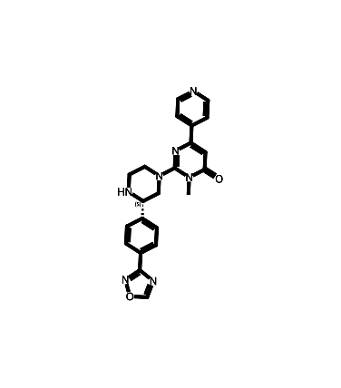 Cn1c(N2CCN[C@@H](c3ccc(-c4ncon4)cc3)C2)nc(-c2ccncc2)cc1=O